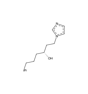 CC(C)CCC[C@@H](O)CCn1ccnc1